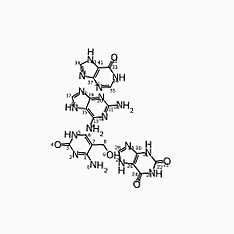 Nc1nc(=O)[nH]cc1CO.Nc1nc(N)c2[nH]cnc2n1.O=c1[nH]c(=O)c2[nH]cnc2[nH]1.O=c1[nH]cnc2nc[nH]c12